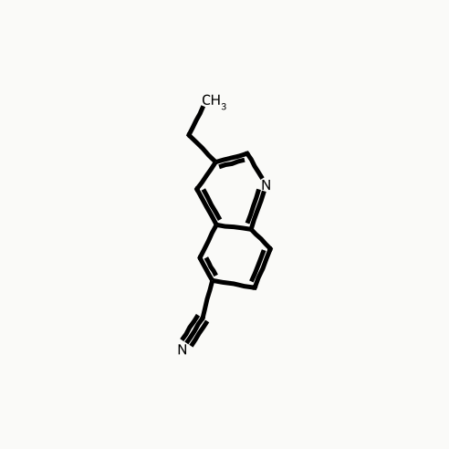 CCc1cnc2ccc(C#N)cc2c1